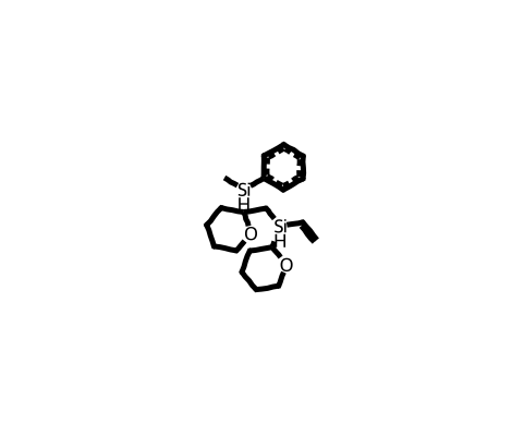 C=C[SiH](CC1([SiH](C)c2ccccc2)CCCCO1)C1CCCCO1